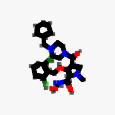 Cn1cc(C(=O)N2CCN(Cc3ccccc3)CC2)c(OCc2c(Cl)cccc2Cl)c1C(=O)NO